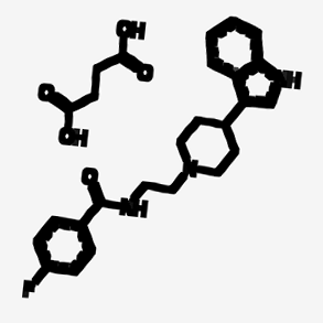 O=C(NCCN1CCC(c2c[nH]c3ccccc23)CC1)c1ccc(F)cc1.O=C(O)CCC(=O)O